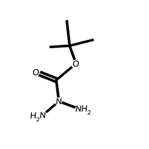 CC(C)(C)OC(=O)N(N)N